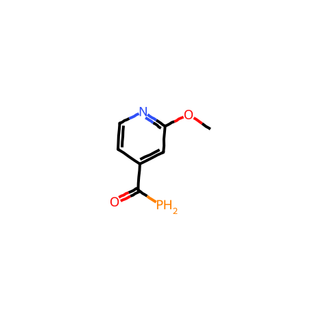 COc1cc(C(=O)P)ccn1